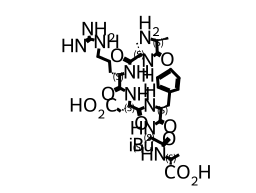 CC[C@H](C)[C@H](NC(=O)[C@H](Cc1ccccc1)NC(=O)[C@H](CC(=O)O)NC(=O)[C@H](CCCNC(=N)N)NC(=O)[C@H](C)NC(=O)[C@H](C)N)C(=O)N[C@@H](C)C(=O)O